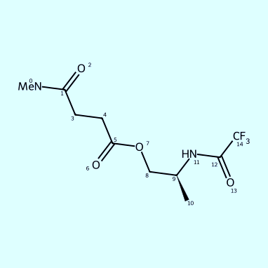 CNC(=O)CCC(=O)OC[C@H](C)NC(=O)C(F)(F)F